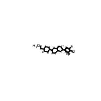 CCCC1CCC(C2CCC3CC(c4cc(F)c(Cl)c(F)c4)CCC3C2)CC1